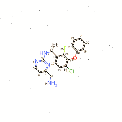 CC[C@@H](Nc1nccc(CN)n1)c1ccc(Cl)c(Oc2ccccc2)c1F